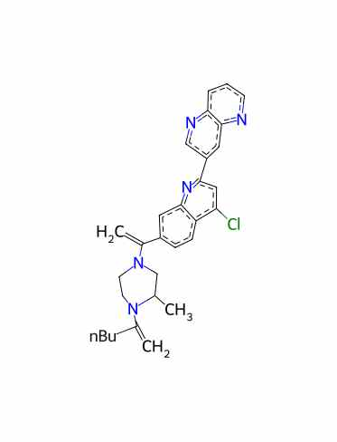 C=C(c1ccc2c(Cl)cc(-c3cnc4cccnc4c3)nc2c1)N1CCN(C(=C)CCCC)C(C)C1